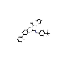 O=C(O)[C@H](Cn1cccc1)N(Cc1ccc(-c2ccccn2)cc1)C(=O)/C=C/c1ccc(C(F)(F)F)cc1